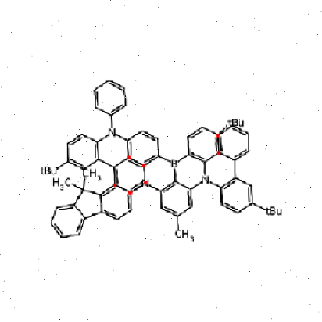 Cc1cc2c3c(c1)N(c1ccc(C(C)(C)C)cc1-c1ccccc1)c1cc(C(C)(C)C)ccc1B3c1ccc(N(c3ccccc3)c3ccc(C(C)(C)C)cc3-c3ccccc3)cc1N2c1ccc2c(c1)C(C)(C)c1ccccc1-2